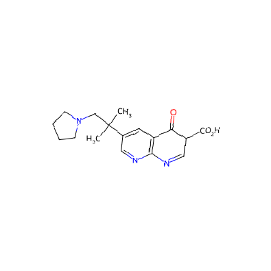 CC(C)(CN1CCCC1)c1cnc2c(c1)C(=O)C(C(=O)O)C=N2